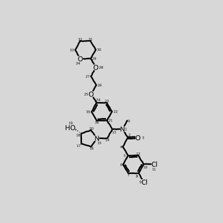 CN(C(=O)Cc1ccc(Cl)c(Cl)c1)C(CN1CC[C@H](O)C1)c1ccc(OCCOC2CCCCO2)cc1